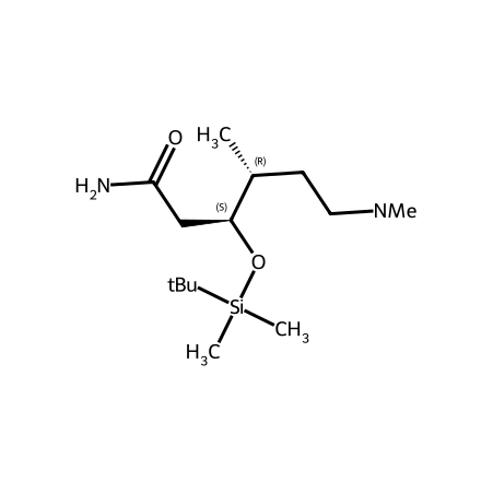 CNCC[C@@H](C)[C@H](CC(N)=O)O[Si](C)(C)C(C)(C)C